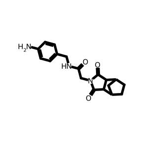 Nc1ccc(CNC(=O)CN2C(=O)C3C4CCC(C4)C3C2=O)cc1